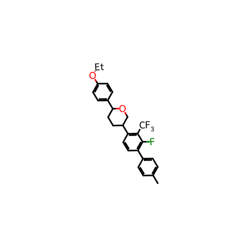 CCOc1ccc(C2CCC(c3ccc(-c4ccc(C)cc4)c(F)c3C(F)(F)F)CO2)cc1